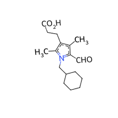 Cc1c(CCC(=O)O)c(C)n(CC2CCCCC2)c1C=O